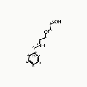 OCCOCCNC[C@@H]1C=CC=CC1